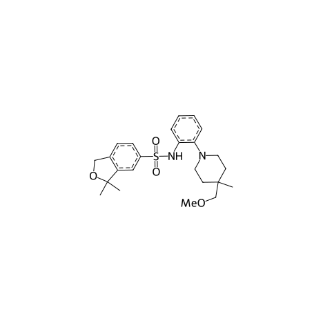 COCC1(C)CCN(c2ccccc2NS(=O)(=O)c2ccc3c(c2)C(C)(C)OC3)CC1